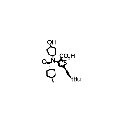 CC(C)(C)C#Cc1cc(N(C(=O)[C@H]2CC[C@H](C)CC2)[C@H]2CC[C@H](O)CC2)c(C(=O)O)s1